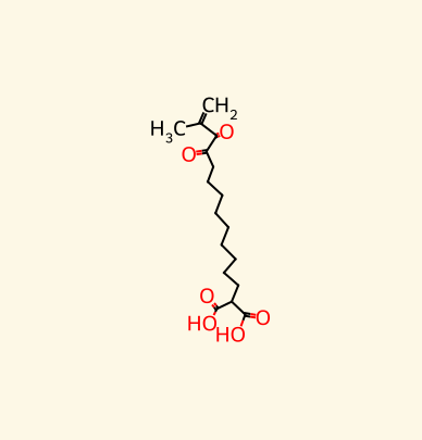 C=C(C)C(=O)C(=O)CCCCCCCCCC(C(=O)O)C(=O)O